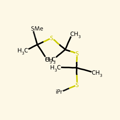 CSC(C)(C)SC(C)(C)SC(C)(C)SC(C)C